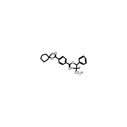 CC(C)C1(OC(=O)c2ccc(C(=O)OC(c3ccccc3)C(F)(F)C(=O)O)cc2)CCCCC1